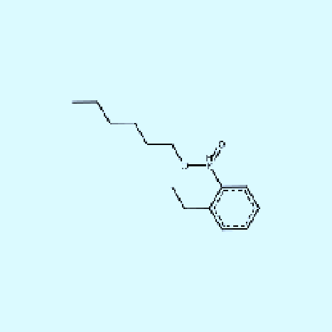 CCCCCCO[PH](=O)c1ccccc1CC